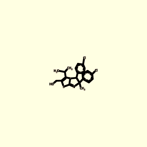 CC(C)C1=C(CO)SC2=NC(C)(c3ccc(Cl)cc3)C(c3ccc(Cl)cc3)N21